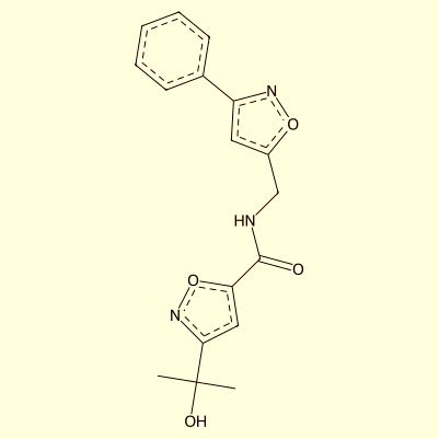 CC(C)(O)c1cc(C(=O)NCc2cc(-c3ccccc3)no2)on1